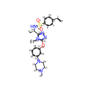 C=Cc1ccc(S(=O)(=O)N[C@H](C)c2nnc(Oc3cccc(N4CCN(C)CC4)c3)n2CC)cc1